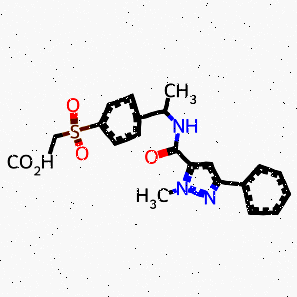 CC(NC(=O)c1cc(-c2ccccc2)nn1C)c1ccc(S(=O)(=O)CC(=O)O)cc1